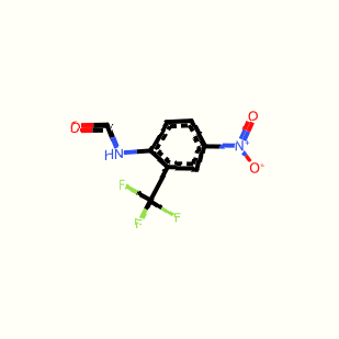 O=[C]Nc1ccc([N+](=O)[O-])cc1C(F)(F)F